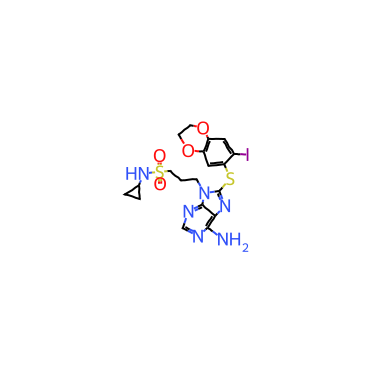 Nc1ncnc2c1nc(Sc1cc3c(cc1I)OCCO3)n2CCCS(=O)(=O)NC1CC1